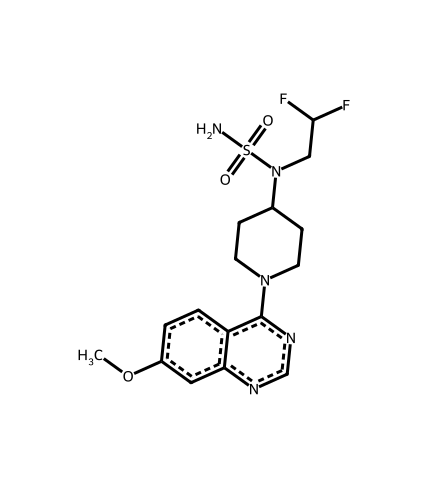 COc1ccc2c(N3CCC(N(CC(F)F)S(N)(=O)=O)CC3)ncnc2c1